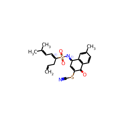 C=CC/C(=C\C=C(C)C)S(=O)(=O)/N=C1\C=C(SC#N)C(=O)c2ccc(C)cc21